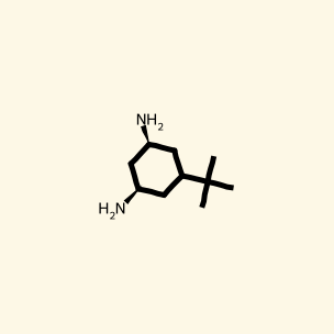 CC(C)(C)C1C[C@@H](N)C[C@@H](N)C1